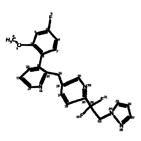 COc1cc(F)ccc1-c1cccnc1Cc1ccc(C(F)(F)Cn2cccn2)nc1